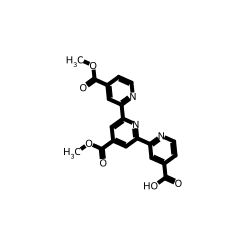 COC(=O)c1ccnc(-c2cc(C(=O)OC)cc(-c3cc(C(=O)O)ccn3)n2)c1